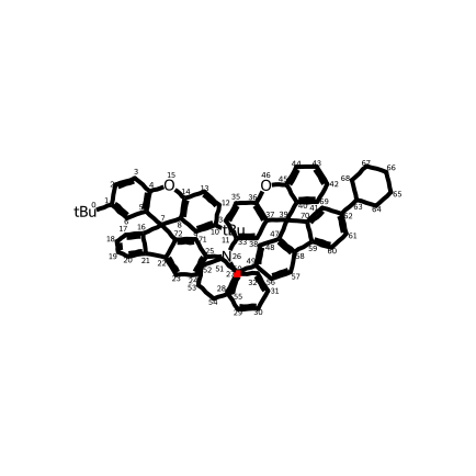 CC(C)(C)c1ccc2c(c1)C1(c3cc(C(C)(C)C)ccc3O2)c2ccccc2-c2ccc(N(c3ccccc3)c3ccc4c(c3)C3(c5ccccc5O4)c4cc(C5CCCCC5)ccc4-c4ccc(C5CCCCC5)cc43)cc21